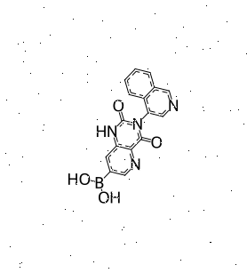 O=c1[nH]c2cc(B(O)O)cnc2c(=O)n1-c1cncc2ccccc12